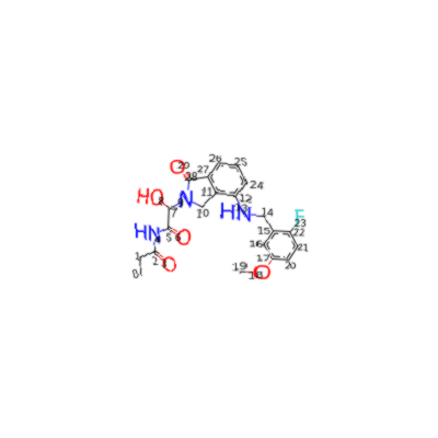 CCC(=O)NC(=O)C(O)N1Cc2c(NCc3cc(OC)ccc3F)cccc2C1=O